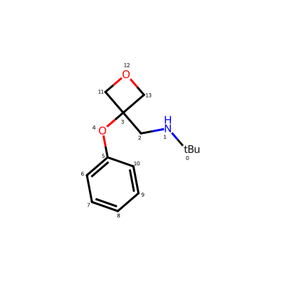 CC(C)(C)NCC1(Oc2ccccc2)COC1